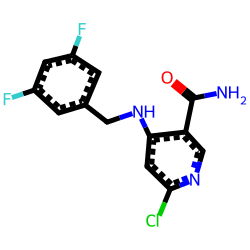 NC(=O)c1cnc(Cl)cc1NCc1cc(F)cc(F)c1